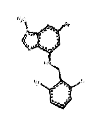 CCc1cccc(C)c1CNc1cc(Br)cc2c1ncn2C